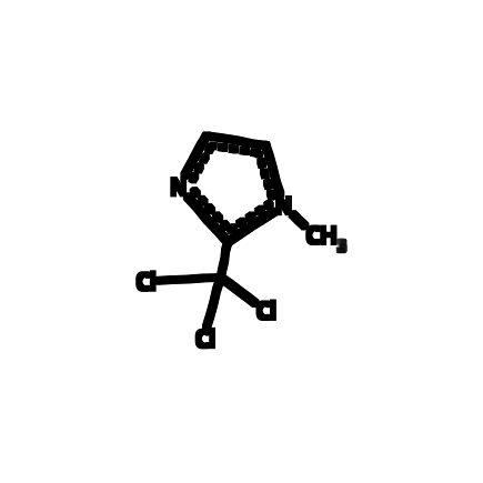 Cn1ccnc1C(Cl)(Cl)Cl